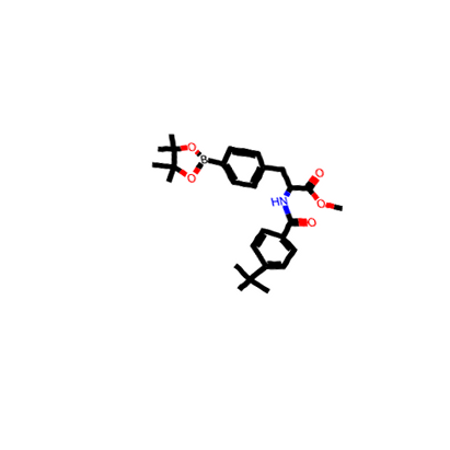 COC(=O)C(Cc1ccc(B2OC(C)(C)C(C)(C)O2)cc1)NC(=O)c1ccc(C(C)(C)C)cc1